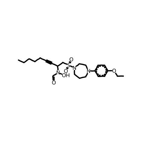 CCCCCC#CC(CS(=O)(=O)N1CCCN(c2ccc(OCC)cc2)CC1)N(O)C=O